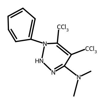 CN(C)C1=NNN(c2ccccc2)C(C(Cl)(Cl)Cl)=C1C(Cl)(Cl)Cl